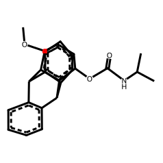 COc1ccc(OC(=O)NC(C)C)c2c1C1c3ccccc3C2c2ccccc21